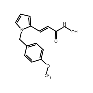 O=C(C=Cc1cccn1Cc1ccc(OC(F)(F)F)cc1)NO